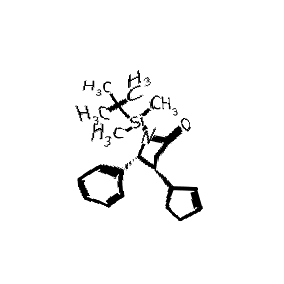 CC(C)(C)[Si](C)(C)N1C(=O)[C@@H](C2C=CCC2)[C@@H]1c1ccccc1